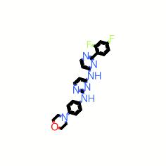 Fc1ccc(-c2nccc(Nc3ccnc(Nc4ccc(N5CCOCC5)cc4)n3)n2)c(F)c1